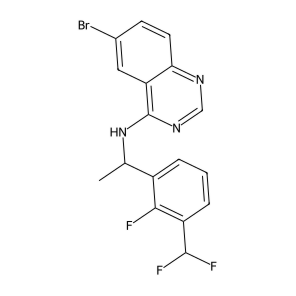 CC(Nc1ncnc2ccc(Br)cc12)c1cccc(C(F)F)c1F